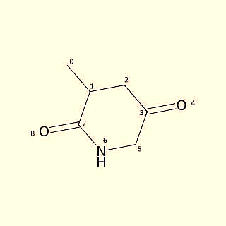 CC1CC(=O)CNC1=O